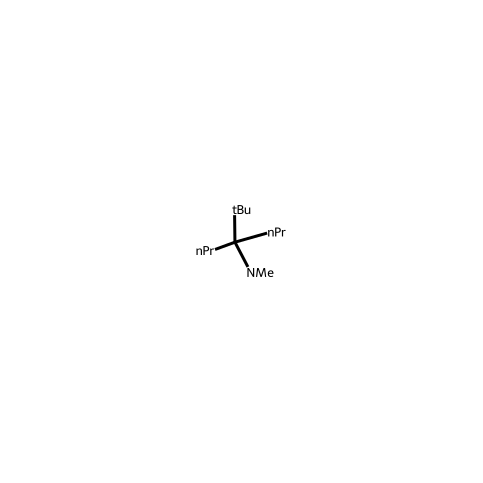 CCCC(CCC)(NC)C(C)(C)C